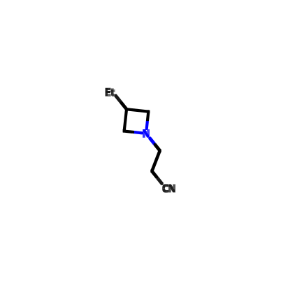 CCC1CN(CCC#N)C1